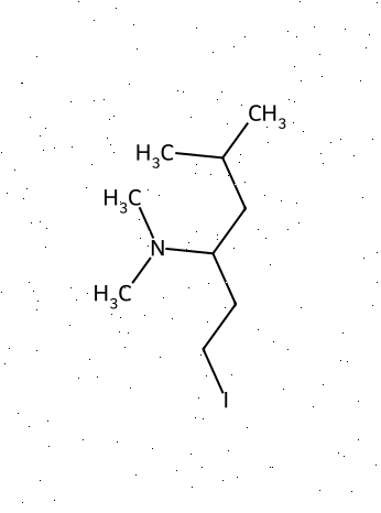 CC(C)CC(CCI)N(C)C